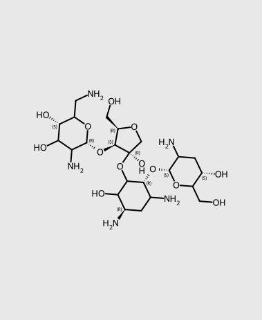 NCC1O[C@H](O[C@H]2[C@@H](CO)OC[C@@]2(O)OC2C(O)[C@H](N)CC(N)[C@H]2O[C@H]2OC(CO)[C@@H](O)CC2N)C(N)C(O)[C@@H]1O